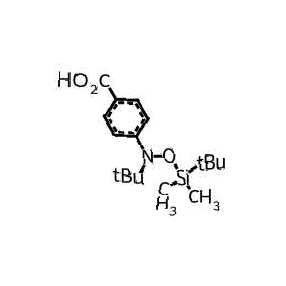 CC(C)(C)N(O[Si](C)(C)C(C)(C)C)c1ccc(C(=O)O)cc1